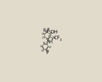 OC1c2c(C(F)(F)F)cn(-c3cccc(F)c3)c2CCC1(F)F